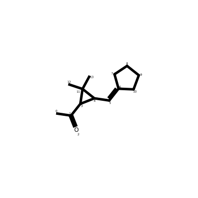 CC(=O)C1C(C=C2CCCC2)C1(C)C